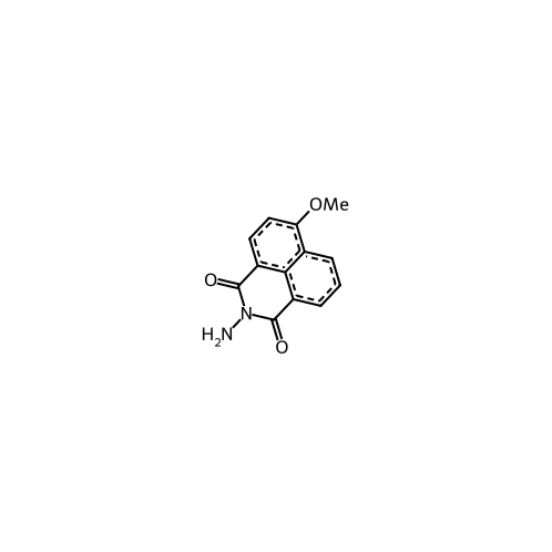 COc1ccc2c3c(cccc13)C(=O)N(N)C2=O